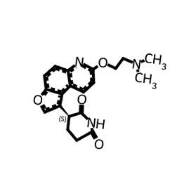 CN(C)CCOc1ccc2c(ccc3occ([C@@H]4CCC(=O)NC4=O)c32)n1